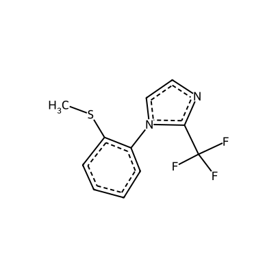 CSc1ccccc1-n1ccnc1C(F)(F)F